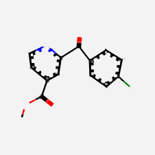 COC(=O)c1ccnc(C(=O)c2ccc(F)cc2)c1